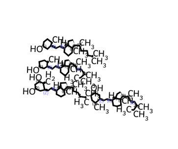 C=C1/C(=C\C=C2/CCC[C@]3(C)[C@@H]([C@H](C)CCCC(C)C)CC[C@@H]23)C[C@@H](O)C[C@@H]1O.C=C1CC[C@H](O)C/C1=C/C=C1\CCC[C@]2(C)[C@@H]([C@H](C)/C=C/[C@H](C)C(C)C)CC[C@@H]12.C=C1CC[C@H](O)C/C1=C/C=C1\CCC[C@]2(C)[C@@H]([C@H](C)CCCC(C)C)CC[C@@H]12.CC(C)[C@@H](C)/C=C/[C@@H](C)[C@H]1CC[C@H]2/C(=C/C=C3\C[C@@H](O)CC[C@@H]3C)CCC[C@]12C